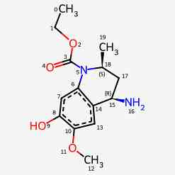 CCOC(=O)N1c2cc(O)c(OC)cc2[C@H](N)C[C@@H]1C